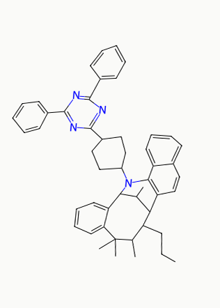 CCCC1C2c3ccc4ccccc4c3N(C3CCC(c4nc(-c5ccccc5)nc(-c5ccccc5)n4)CC3)C(c3ccccc3C(C)(C)C1C)C2C